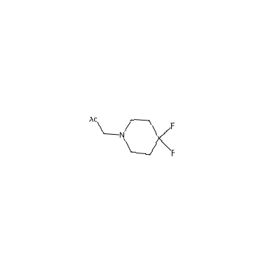 CC(=O)CN1CCC(F)(F)CC1